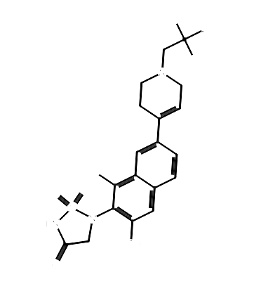 O=C1CN(c2c(O)cc3ccc(C4=CCN(CC(F)(F)F)CC4)cc3c2F)S(=O)(=O)N1